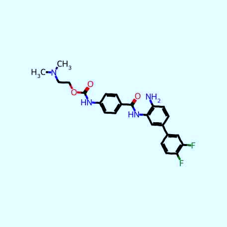 CN(C)CCOC(=O)Nc1ccc(C(=O)Nc2cc(-c3ccc(F)c(F)c3)ccc2N)cc1